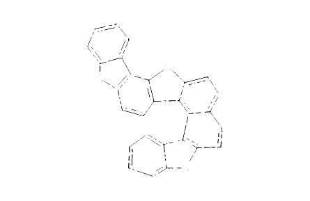 c1ccc2c(c1)sc1ccc3c(sc4ccc5ccc6sc7ccccc7c6c5c43)c12